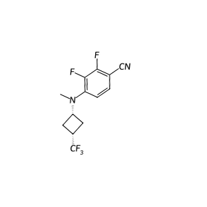 CN(c1ccc(C#N)c(F)c1F)[C@H]1C[C@@H](C(F)(F)F)C1